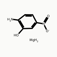 Nc1ccc([N+](=O)[O-])cc1O.[MgH2]